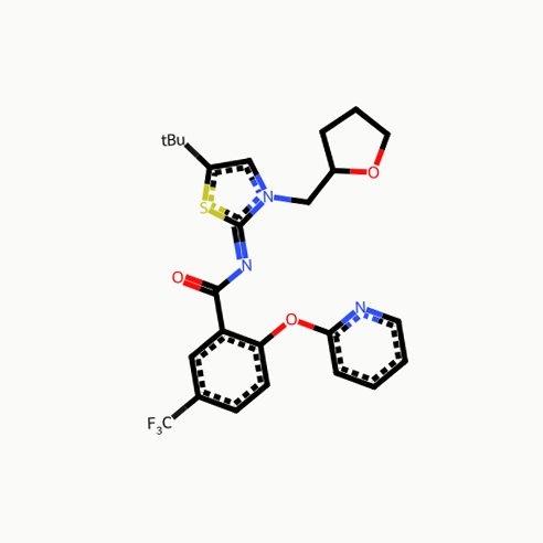 CC(C)(C)c1cn(CC2CCCO2)/c(=N/C(=O)c2cc(C(F)(F)F)ccc2Oc2ccccn2)s1